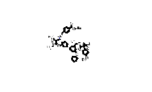 CCOc1ccc(C2(C(=O)OC(C#N)c3cccc(Oc4ccccc4)c3)CC2(Cl)Cl)cc1.Cc1nn(C)c(Oc2ccccc2)c1/C=N/OCc1ccc(C(=O)OC(C)(C)C)cc1